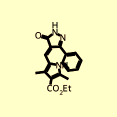 CCOC(=O)c1c(C)[nH]c(/C=C2/C(=O)NN=C2c2ccccc2)c1C